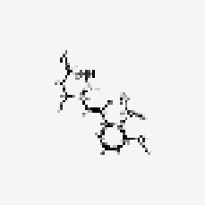 COc1cccc(C(C)=CC2=NNC(=O)CC2C)c1[S+](C)[O-]